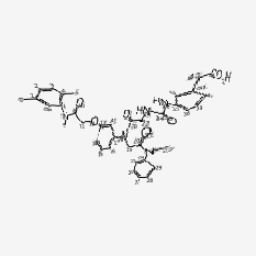 Cc1ccc(C)c(N(C)C(=O)COc2cccc(N(CC(=O)N(C)c3ccccc3)C(=O)CNC(=O)Nc3cccc(CC(=O)O)c3)c2)c1